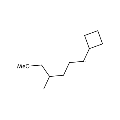 COCC(C)CC[CH]C1CCC1